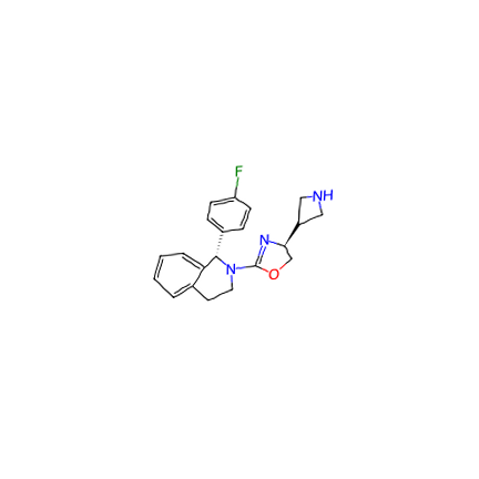 Fc1ccc([C@H]2c3ccccc3CCN2C2=N[C@@H](C3CNC3)CO2)cc1